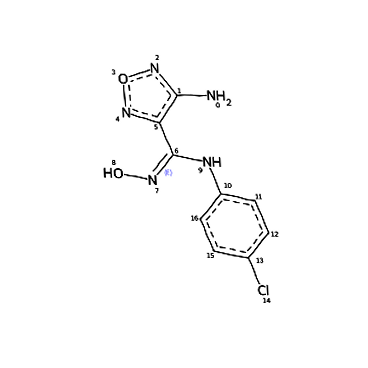 Nc1nonc1/C(=N\O)Nc1ccc(Cl)cc1